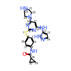 O=C(Nc1ccc(Sc2nc(Nc3ccn[nH]3)cc(N3CCNCC3)n2)cc1)C1CC1